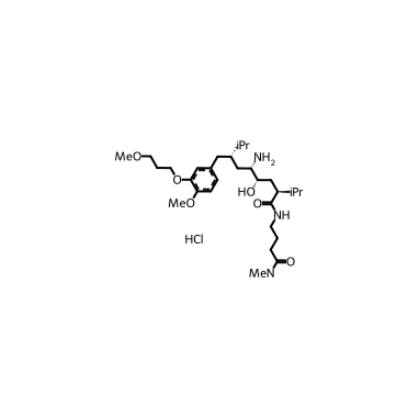 CNC(=O)CCCNC(=O)[C@@H](C[C@H](O)[C@@H](N)C[C@H](Cc1ccc(OC)c(OCCCOC)c1)C(C)C)C(C)C.Cl